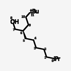 CC(C)CCCCC[C@@H](CO)CCC(C)(C)C